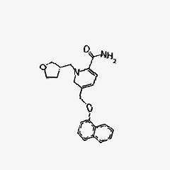 NC(=O)C1=CC=C(COc2cccc3ccccc23)CN1CC1CCOC1